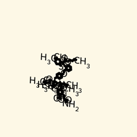 CCCCOC(=O)c1c(-c2ccccc2COc2ccc(C[C@H]3[C@@H](CN(CC(C)C)S(=O)(=O)c4ccc([N+](=O)[O-])c(/C=C/C(N)=O)c4)OC(C)(C)N3C(=O)OC(C)(C)C)cc2)sc2c1CC(C)(C)CC2